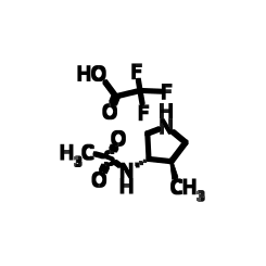 C[C@@H]1CNC[C@H]1NS(C)(=O)=O.O=C(O)C(F)(F)F